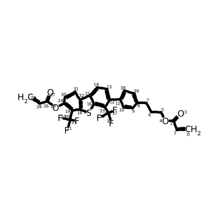 C=CC(=O)OCCCc1ccc(-c2ccc3c(sc4c(C(F)(F)F)c(OC(=O)C=C)ccc43)c2C(F)(F)F)cc1